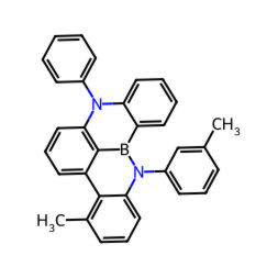 Cc1cccc(N2B3c4ccccc4N(c4ccccc4)c4cccc(c43)-c3c(C)cccc32)c1